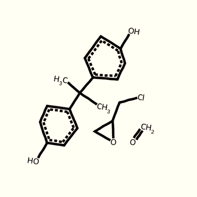 C=O.CC(C)(c1ccc(O)cc1)c1ccc(O)cc1.ClCC1CO1